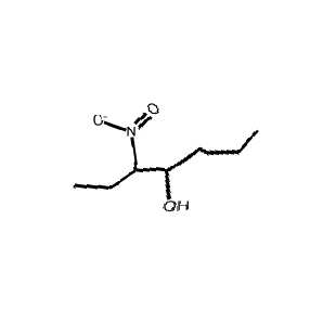 CCCC(O)C(CC)[N+](=O)[O-]